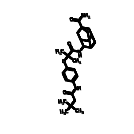 CC(C)(C)CC(=O)Nc1ccc(OC(C)(C)C(=O)NC2C3CC4CC2CC(C(N)=O)(C4)C3)cc1